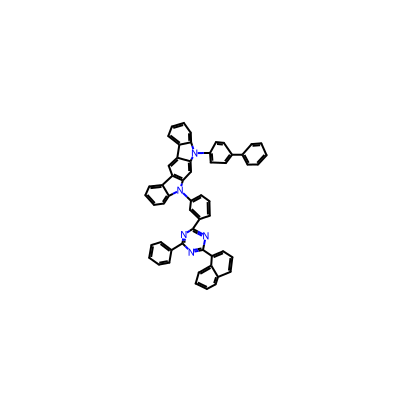 c1ccc(-c2ccc(-n3c4ccccc4c4cc5c6ccccc6n(-c6cccc(-c7nc(-c8ccccc8)nc(-c8cccc9ccccc89)n7)c6)c5cc43)cc2)cc1